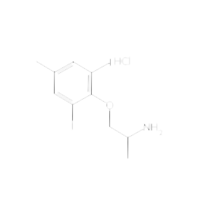 Cc1cc(I)c(OCC(C)N)c(I)c1.Cl